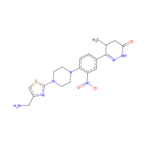 CC1CC(=O)NN=C1c1ccc(N2CCN(c3nc(CN)cs3)CC2)c([N+](=O)[O-])c1